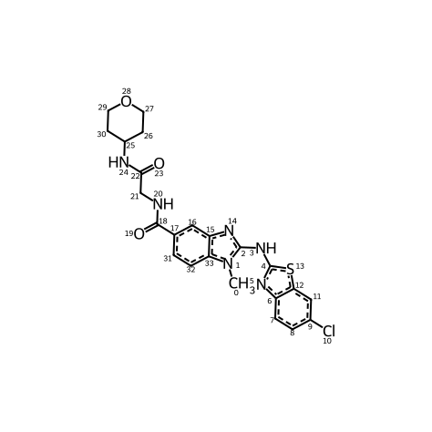 Cn1c(Nc2nc3ccc(Cl)cc3s2)nc2cc(C(=O)NCC(=O)NC3CCOCC3)ccc21